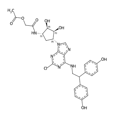 CC(=O)OCC(=O)N[C@H]1C[C@@H](n2cnc3c(NCC(c4ccc(O)cc4)c4ccc(O)cc4)nc(Cl)nc32)[C@H](O)[C@@H]1O